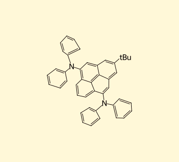 CC(C)(C)c1cc2cc(N(c3ccccc3)c3ccccc3)c3cccc4c(N(c5ccccc5)c5ccccc5)cc(c1)c2c34